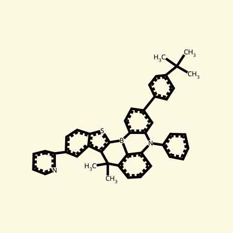 CC(C)(C)c1ccc(-c2ccc3c(c2)N(c2ccccc2)c2cccc4c2B3c2sc3ccc(-c5ccccn5)cc3c2C4(C)C)cc1